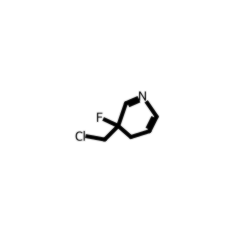 FC1(CCl)C=NC=CC1